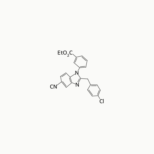 [C-]#[N+]c1ccc2c(c1)nc(Cc1ccc(Cl)cc1)n2-c1cccc(C(=O)OCC)c1